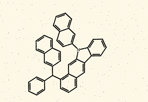 c1ccc(C(c2ccc3ccccc3c2)c2cccc3cc4c5ccccc5n(-c5ccc6ccccc6c5)c4cc23)cc1